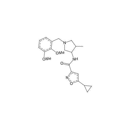 COc1cccc(CN2CC(C)C(NC(=O)c3cc(C4CC4)on3)C2)c1OC